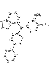 Cc1ccc(N(c2ccc(-c3ccccc3)cc2)c2cccc3c2CCC3)cc1C